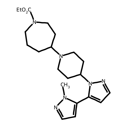 CCOC(=O)N1CCCC(N2CCC(n3nccc3-c3ccnn3C)CC2)CC1